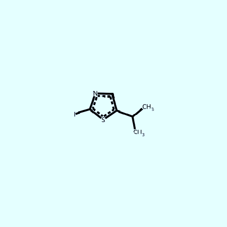 CC(C)c1cnc(I)s1